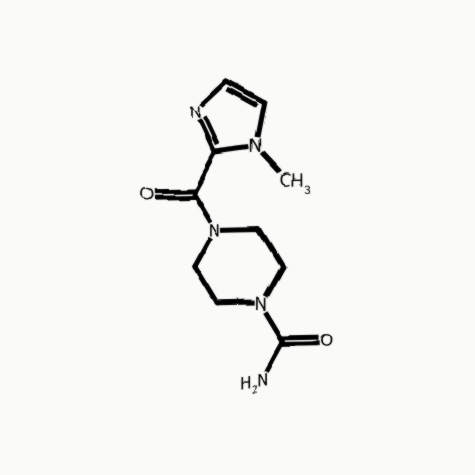 Cn1ccnc1C(=O)N1CCN(C(N)=O)CC1